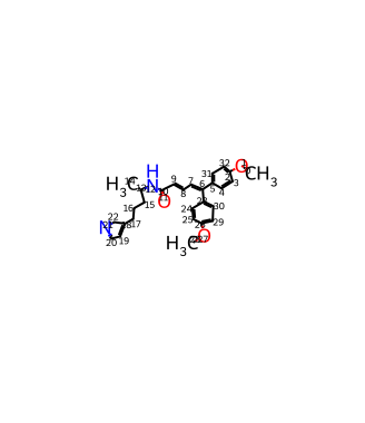 COc1ccc(C(=C/C=C/C(=O)N[C@H](C)CCCC2=CC=NC2)c2ccc(OC)cc2)cc1